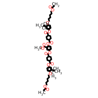 C=CC(=O)OCCCCCCOc1ccc(OC(=O)C2CCC(C(=O)Oc3ccc(OC(=O)C4CCC(C(=O)Oc5ccc(OCCCCCCOC(=O)C=C)c(C(C)(C)C)c5)CC4)c(C(=O)OC)c3)CC2)cc1C(C)(C)C